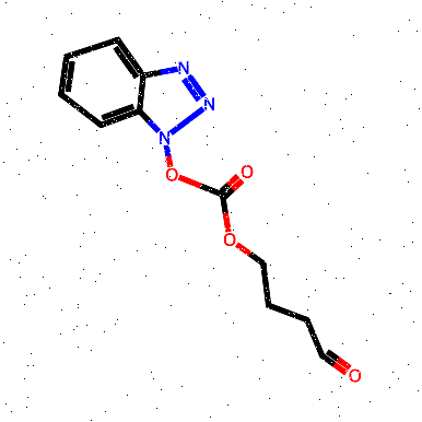 O=CCCCOC(=O)On1nnc2ccccc21